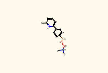 Cc1cccc(-c2ccc(SOON(C)C)cc2)n1